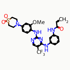 C=CC(=O)Nc1cccc(Nc2nc(Nc3ccc(N4CCS(=O)(=O)CC4)cc3OC)ncc2C(F)(F)F)c1